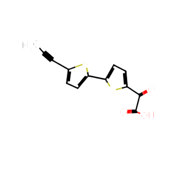 CC#Cc1ccc(-c2ccc(C(=O)C(=O)O)s2)s1